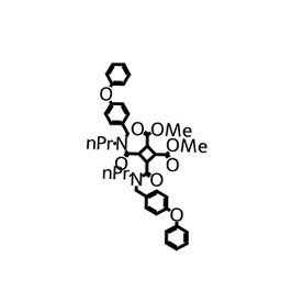 CCCN(Cc1ccc(Oc2ccccc2)cc1)C(=O)C1C(C(=O)OC)C(C(=O)OC)C1C(=O)N(CCC)Cc1ccc(Oc2ccccc2)cc1